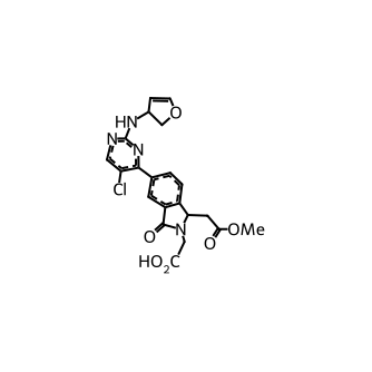 COC(=O)CC1c2ccc(-c3nc(NC4C=COC4)ncc3Cl)cc2C(=O)N1CC(=O)O